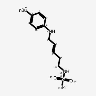 CCCCc1ccc(NC/C=C/CCNS(=O)(=O)C(C)C)cc1